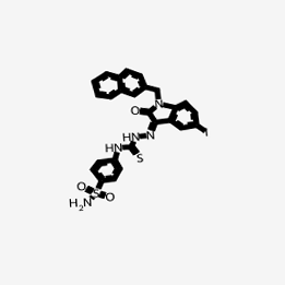 NS(=O)(=O)c1ccc(NC(=S)NN=C2C(=O)N(Cc3ccc4ccccc4c3)c3ccc(I)cc32)cc1